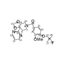 COc1cc(C(=O)N2CCC3(c4ncccn4)OCOC3C2)ccc1OCC(C)(C)F